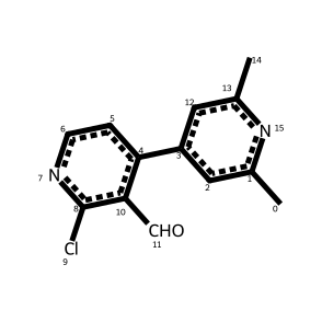 Cc1cc(-c2ccnc(Cl)c2C=O)cc(C)n1